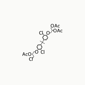 CC(=O)OC[C@H](COc1ccc(C(C)(C)c2ccc(OC[C@H](CCl)OC(C)=O)c(Cl)c2)cc1Cl)OC(C)=O